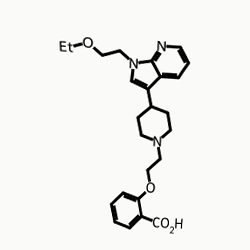 CCOCCn1cc(C2CCN(CCOc3ccccc3C(=O)O)CC2)c2cccnc21